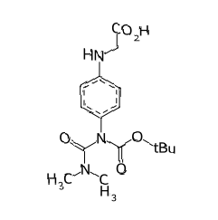 CN(C)C(=O)N(C(=O)OC(C)(C)C)c1ccc(NCC(=O)O)cc1